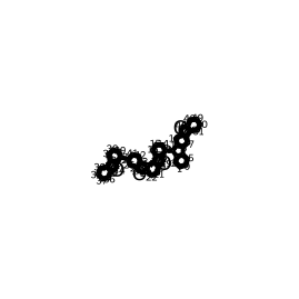 c1ccc2c(c1)-c1cc3c(cc1C2c1cccc2c1oc1ccc4oc5cc(-c6cccc7c6oc6ccccc67)ccc5c4c12)oc1ccccc13